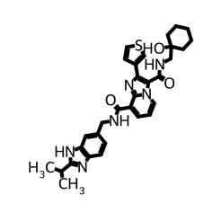 CC(C)c1nc2ccc(CNC(=O)c3cccn4c(C(=O)NCC5(O)CCCCC5)c(-c5ccsc5)nc34)cc2[nH]1